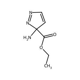 CCOC(=O)C1(N)C=CN=N1